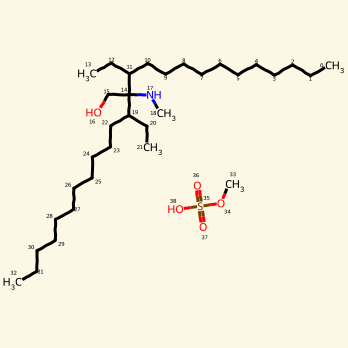 CCCCCCCCCCCC(CC)C(CO)(NC)C(CC)CCCCCCCCCCC.COS(=O)(=O)O